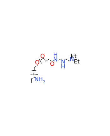 C=CC(N)C(C)(C)C(C)(C)CCOC(C)(C)C(=O)CCC(=O)NCCNCCN(CC)CC